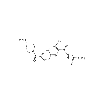 CCc1cc2cc(C(=O)C3CCC(OC)CC3)ccc2nc1C(=O)NCC(=O)OC